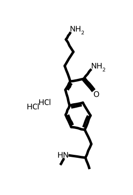 CNC(C)Cc1ccc(C=C(CCCN)C(N)=O)cc1.Cl.Cl